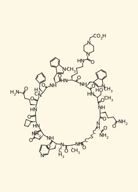 C[C@H]1NC(=O)CSC[C@@H](C(N)=O)NC(=O)[C@H](CCCC(N)=O)NC(=O)[C@H]([C@@H](C)O)NC(=O)[C@H](Cc2cn(C)c3ccccc23)NC(=O)[C@H](CCCCNC(=O)N2CCN(CC(=O)O)CC2)NC(=O)[C@H](Cc2cn(C)c3ccccc23)NC(=O)[C@H](Cc2ccccc2)N(C)C(=O)[C@H](CCCC(N)=O)NC(=O)[C@H](C2CCC2)NC(=O)[C@H](CC(N)=O)NC(=O)[C@H](Cc2cccnc2)N(C)C1=O